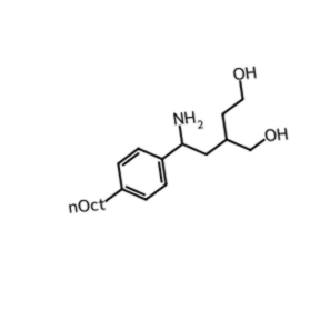 CCCCCCCCc1ccc(C(N)CC(CO)CCO)cc1